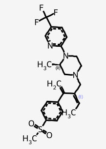 C=C(/C(=C\C)CN1CCN(c2ccc(C(F)(F)F)cn2)[C@H](C)C1)c1ccc(S(C)(=O)=O)cc1